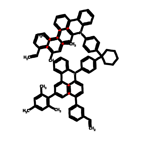 C=Cc1cccc(-c2ccc(N(c3ccc(C4(c5ccc(N(c6ccc(-c7cccc(C=C)c7)cc6)c6ccccc6-c6cccc(-c7c(C)cc(C)cc7C)c6)cc5)CCCCC4)cc3)c3ccccc3-c3cccc(-c4c(C)cc(C)cc4C)c3)cc2)c1